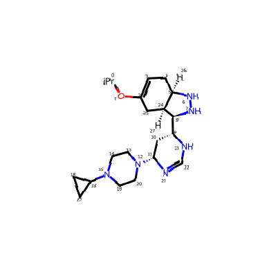 CC(C)OC1=CC[C@H]2NN[C@@H]([C@H]3C[C@@H](N4CCN(C5CC5)CC4)N=CN3)[C@H]2C1